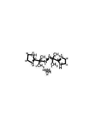 CC(C)(N=NC(C)(C)C1=NCCN1)C1=NCCN1.[HH].[HH]